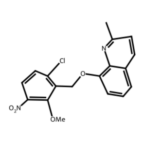 COc1c([N+](=O)[O-])ccc(Cl)c1COc1cccc2ccc(C)nc12